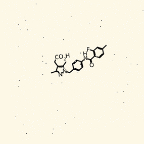 Cc1ccc(C(=O)Nc2ccc(Cn3nc(C)c(CC(=O)O)c3C)cc2)c(F)c1